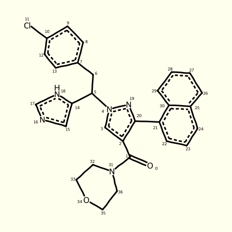 O=C(c1cn(C(Cc2ccc(Cl)cc2)c2cnc[nH]2)nc1-c1cccc2ccccc12)N1CCOCC1